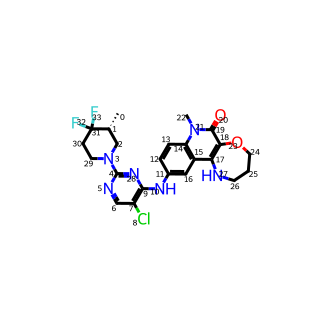 C[C@@H]1CN(c2ncc(Cl)c(Nc3ccc4c(c3)c3c(c(=O)n4C)OCCCN3)n2)CCC1(F)F